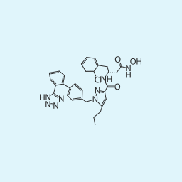 CCCc1cc(C(=O)N[C@@H](CC(=O)NO)Cc2ccccc2Cl)nn1Cc1ccc(-c2ccccc2-c2nnn[nH]2)cc1